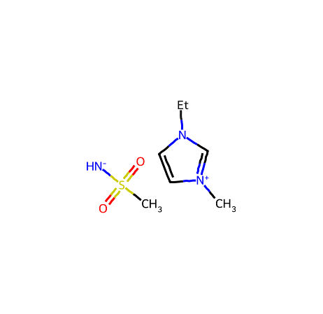 CCn1cc[n+](C)c1.CS([NH-])(=O)=O